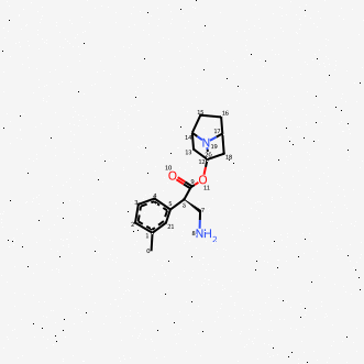 Cc1cccc([C@H](CN)C(=O)OC2CC3CCC(C2)N3C)c1